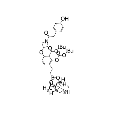 CC(C)(C)OC(=O)Oc1c(CCB2O[C@@H]3C[C@@H]4C[C@@H](C4(C)C)[C@]3(C)O2)ccc(OC2CN(C(=O)Cc3ccc(O)cc3)C2)c1C(=O)OC(C)(C)C